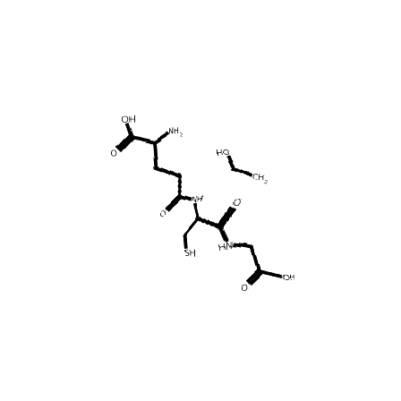 CCO.NC(CCC(=O)NC(CS)C(=O)NCC(=O)O)C(=O)O